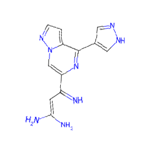 N=C(C=C(N)N)c1cn2nccc2c(-c2cn[nH]c2)n1